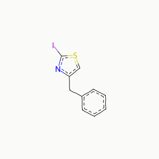 Ic1nc(Cc2ccccc2)cs1